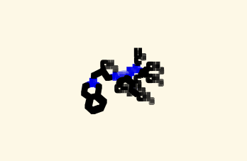 C=C(NCC(C)CN1CCc2ccccc2C1)C(/C=C/C)=N/N(C)C(C)(C)C